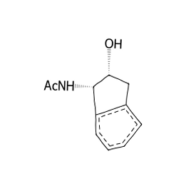 CC(=O)N[C@H]1c2ccccc2C[C@H]1O